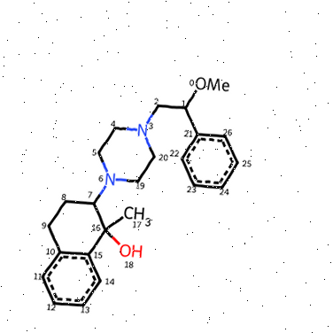 COC(CN1CCN(C2CCc3ccccc3C2(C)O)CC1)c1ccccc1